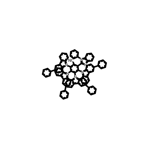 N#Cc1c(-c2nc3ccccc3n2-c2ccccc2)c(-n2c3ccccc3c3cc(-c4ccccc4)ccc32)c(-n2c3ccccc3c3cc(-c4ccccc4)ccc32)c(-n2c3ccccc3c3cc(-c4ccccc4)ccc32)c1-n1c2ccccc2c2cc(-c3ccccc3)ccc21